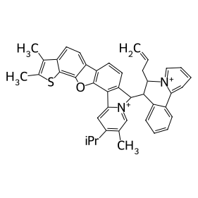 C=CCC1C(C2c3ccc4c(oc5c4ccc4c(C)c(C)sc45)c3-c3cc(C(C)C)c(C)c[n+]32)c2ccccc2-c2cccc[n+]21